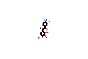 COc1c(N)ccc(C(=O)C(=O)c2ccc(N)cc2)c1OC